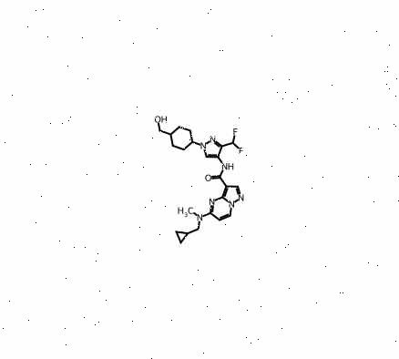 CN(CC1CC1)c1ccn2ncc(C(=O)Nc3cn(C4CCC(CO)CC4)nc3C(F)F)c2n1